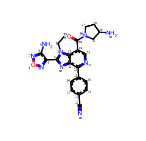 CCn1c(-c2nonc2N)nc2c(-c3ccc(C#N)cc3)ncc(C(=O)N3CCC(N)C3)c21